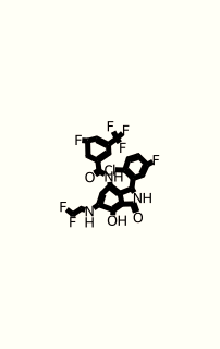 O=C(Nc1cc(NCC(F)F)c(O)c2c1C(c1cc(F)ccc1Cl)NC2=O)C1=CC(C(F)(F)F)=CC(F)C1